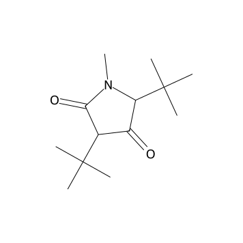 CN1C(=O)C(C(C)(C)C)C(=O)C1C(C)(C)C